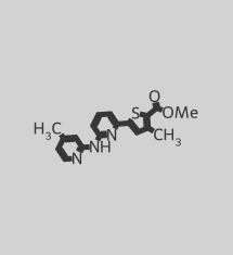 COC(=O)c1sc(-c2cccc(Nc3cc(C)ccn3)n2)cc1C